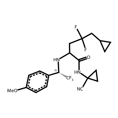 COc1ccc([C@H](NC(CC(F)(F)CC2CC2)C(=O)NC2(C#N)CC2)C(F)(F)F)cc1